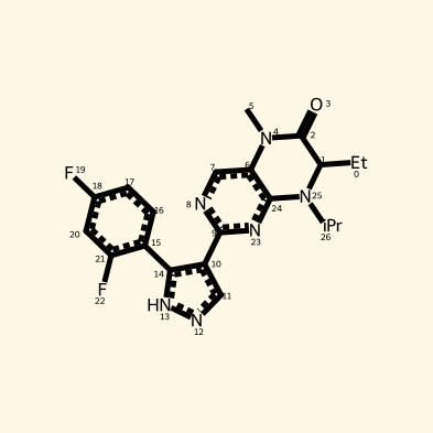 CCC1C(=O)N(C)c2cnc(-c3cn[nH]c3-c3ccc(F)cc3F)nc2N1C(C)C